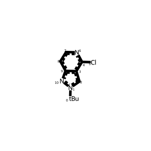 CC(C)(C)n1cc2c(Cl)nccc2n1